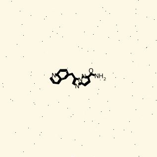 NC(=O)c1ccc2ncc(Cc3ccc4ncccc4c3)n2n1